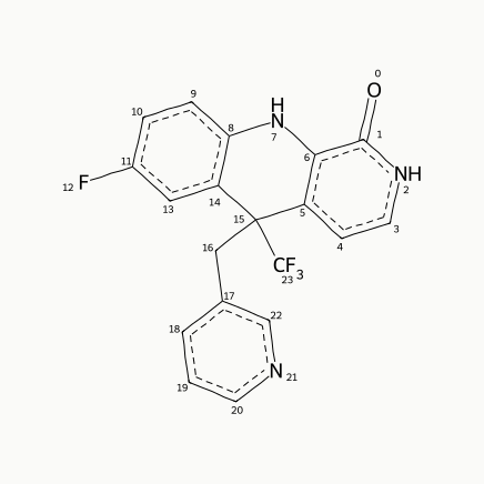 O=c1[nH]ccc2c1Nc1ccc(F)cc1C2(Cc1cccnc1)C(F)(F)F